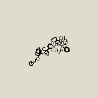 Cc1c(Nc2nc3ccccc3s2)nnc2c1CCCN2c1ccc(-c2cnn(CC34CC5CC(C3)CC(OCCN3CCCC3)(C5)C4)c2C)c(C(=O)O)n1